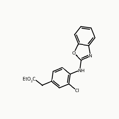 CCOC(=O)Cc1ccc(Nc2nc3ccccc3o2)c(Cl)c1